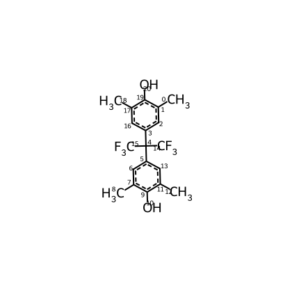 Cc1cc(C(c2cc(C)c(O)c(C)c2)(C(F)(F)F)C(F)(F)F)cc(C)c1O